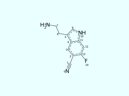 N#Cc1cc2c(CCN)c[nH]c2cc1F